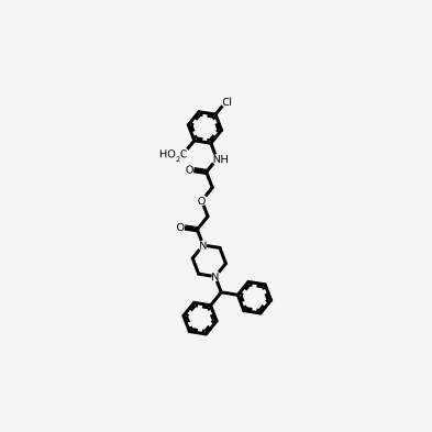 O=C(COCC(=O)N1CCN(C(c2ccccc2)c2ccccc2)CC1)Nc1cc(Cl)ccc1C(=O)O